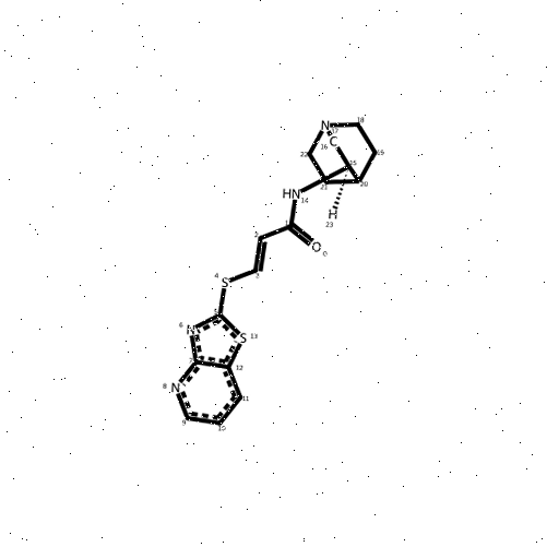 O=C(/C=C/Sc1nc2ncccc2s1)N[C@H]1CN2CCC1CC2